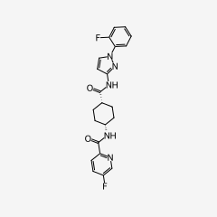 O=C(N[C@H]1CC[C@@H](C(=O)Nc2ccn(-c3ccccc3F)n2)CC1)c1ccc(F)cn1